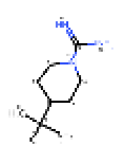 CC(C)(C)C1CCN(C(=N)N)CC1